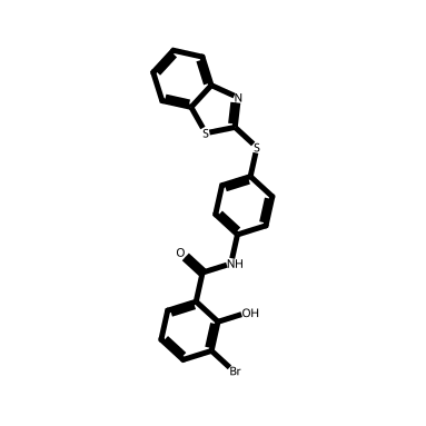 O=C(Nc1ccc(Sc2nc3ccccc3s2)cc1)c1cccc(Br)c1O